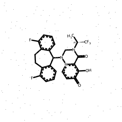 C[C@@H](N1CN(C2c3cccc(F)c3CCc3c(F)cccc32)n2ccc(=O)c(O)c2C1=O)C(F)(F)F